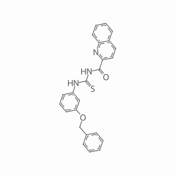 O=C(NC(=S)Nc1cccc(OCc2ccccc2)c1)c1ccc2ccccc2n1